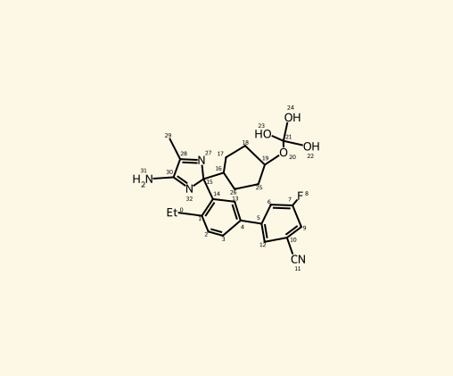 CCc1ccc(-c2cc(F)cc(C#N)c2)cc1C1(C2CCC(OC(O)(O)O)CC2)N=C(C)C(N)=N1